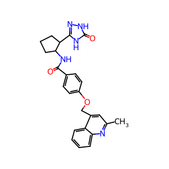 Cc1cc(COc2ccc(C(=O)NC3CCCC3c3n[nH]c(=O)[nH]3)cc2)c2ccccc2n1